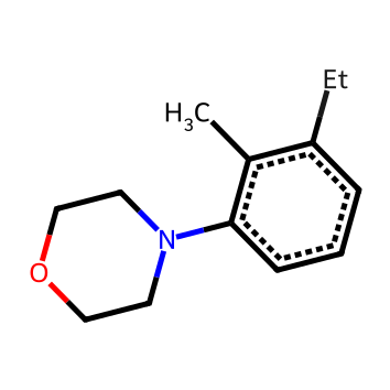 CCc1cccc(N2CCOCC2)c1C